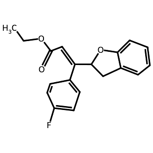 CCOC(=O)C=C(c1ccc(F)cc1)C1Cc2ccccc2O1